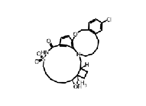 C[C@]12CC[C@H]1CN1CCCCc3cc(Cl)ccc3COc3ccc(cc31)C(=O)NS(=O)(=O)CCCCC[C@@H]2O